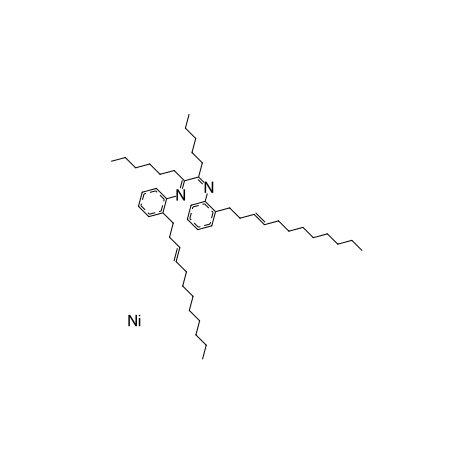 CCCCCCCCC=CCCc1ccccc1N=C(CCCCC)C(CCCCCC)=Nc1ccccc1CCC=CCCCCCCCC.[Ni]